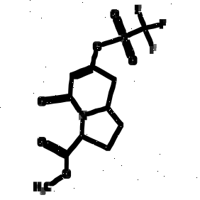 COC(=O)C1CCC2CC(OS(=O)(=O)C(F)(F)F)=CC(=O)N21